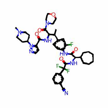 CC(c1ccc(NC(=O)C(NC(=O)C(F)(F)c2cccc(C#N)c2)C2CCCCCC2)c(F)c1)C(NC(=O)c1ccnn1C1CCN(C)CC1)C(=O)N1CCOCC1